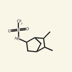 CC1C2CC(NS(=O)(=O)C(F)(F)F)C(C2)C1C